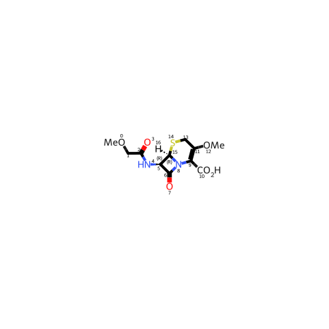 COCC(=O)N[C@@H]1C(=O)N2C(C(=O)O)=C(OC)CS[C@H]12